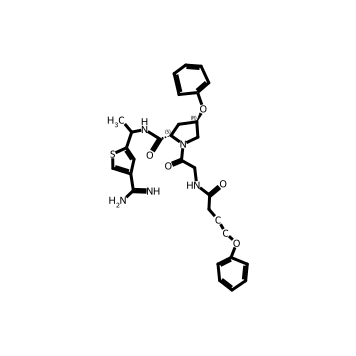 CC(NC(=O)[C@@H]1C[C@@H](Oc2ccccc2)CN1C(=O)CNC(=O)CCCOc1ccccc1)c1cc(C(=N)N)cs1